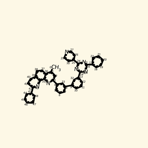 Cc1cc(-c2cccc(-c3cccc(-c4nc(-c5ccccc5)nc(-c5ccncc5)n4)c3)c2)nc2c1ccc1ccc(-c3ccccc3)nc12